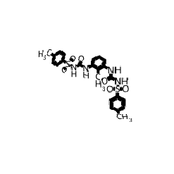 Cc1ccc(S(=O)(=O)NC(=O)Nc2cccc(NC(=O)NS(=O)(=O)c3ccc(C)cc3)c2C)cc1